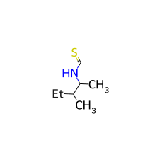 CCC(C)C(C)NC=S